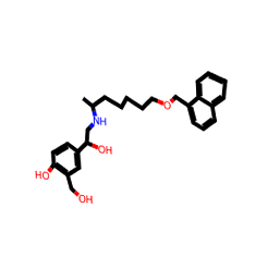 CC(CCCCCOCc1cccc2ccccc12)NCC(O)c1ccc(O)c(CO)c1